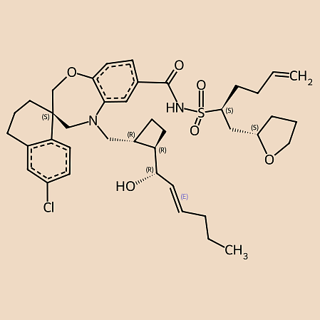 C=CCC[C@@H](C[C@@H]1CCCO1)S(=O)(=O)NC(=O)c1ccc2c(c1)N(C[C@@H]1CC[C@H]1[C@@H](O)/C=C/CCC)C[C@@]1(CCCc3cc(Cl)ccc31)CO2